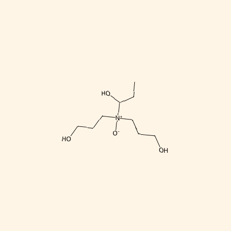 CCC(O)[N+]([O-])(CCCO)CCCO